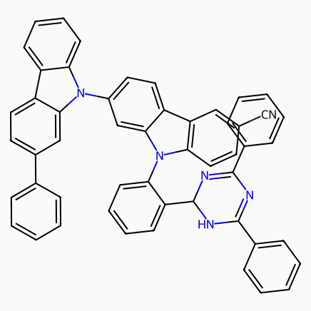 N#Cc1ccc2c(c1)c1ccc(-n3c4ccccc4c4ccc(-c5ccccc5)cc43)cc1n2-c1ccccc1C1N=C(c2ccccc2)N=C(c2ccccc2)N1